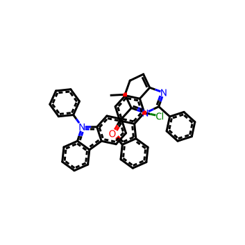 CC1C/C=C(c2ccc3oc4ccccc4c3c2Cl)/N=C(c2ccccc2)\N=C/1c1ccc2c3ccccc3n(-c3ccccc3)c2c1